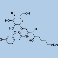 CCCCCCCCCCCCCC[C@@H](O)[C@@H](O)[C@H](CO[C@H]1OC(CO)[C@H](O)[C@H](O)C1O)NC(=O)Cc1ccc(Cl)cc1Cl